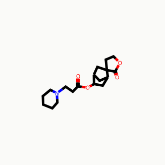 O=C(CCN1CCCCC1)OC1CC2CC1CC21CCOC1=O